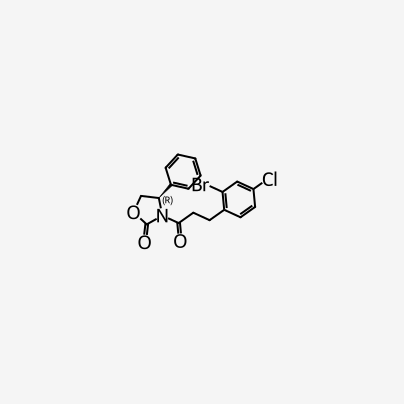 O=C(CCc1ccc(Cl)cc1Br)N1C(=O)OC[C@H]1c1ccccc1